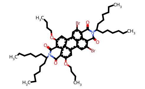 CCCCCCC(CCCCCC)N1C(=O)c2c(Br)cc3c4cc(OCCCC)c5c6c(c(OCCCC)cc(c7cc(Br)c(c2c37)C1=O)c64)C(=O)N(C(CCCCCC)CCCCCC)C5=O